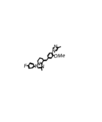 COc1cc(/C=C2\CCCN3C2=NC(C)=CN3c2ccc(F)cc2)ccc1-n1cnc(C)c1